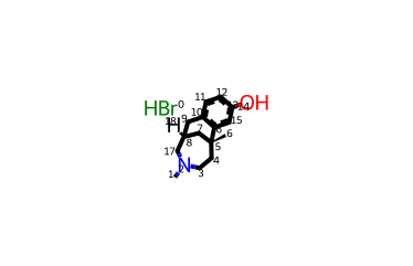 Br.CN1CC[C@]2(C)C[C@@H](Cc3ccc(O)cc32)C1